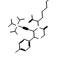 CCCCCC(C(=O)O)N1C(=O)COC(c2ccc(Cl)cc2)C1C#C[Si](C(C)C)(C(C)C)C(C)C